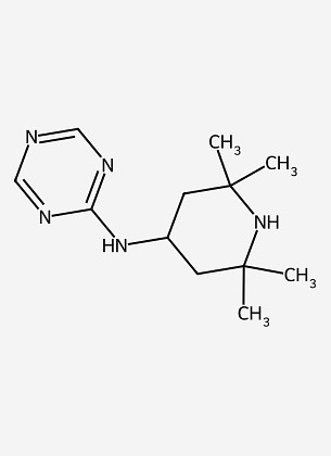 CC1(C)CC(Nc2ncncn2)CC(C)(C)N1